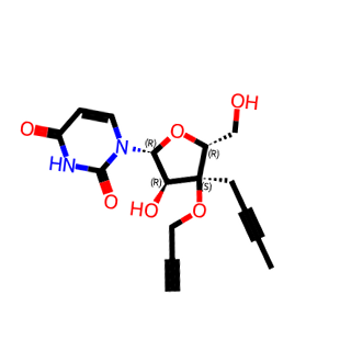 C#CCO[C@]1(CC#CC)[C@@H](CO)O[C@@H](n2ccc(=O)[nH]c2=O)[C@@H]1O